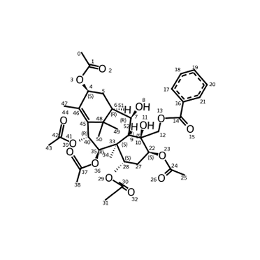 CC(=O)O[C@H]1C[C@H]2[C@@H](O)[C@@H]3[C@](O)(COC(=O)c4ccccc4)[C@@H](OC(C)=O)C[C@H](OC(C)=O)[C@@]3(C)[C@@H](OC(C)=O)[C@H](OC(C)=O)C(=C1C)C2(C)C